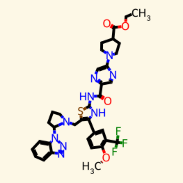 CCOC(=O)C1CCN(c2cnc(C(=O)NC3NC(c4ccc(OC)c(C(F)(F)F)c4)=C(CN4CCCC4n4nnc5ccccc54)S3)cn2)CC1